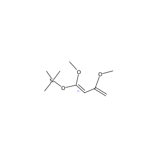 C=C(/C=C(\OC)O[Si](C)(C)C)OC